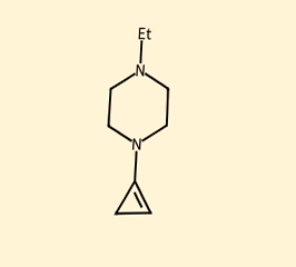 CCN1CCN(C2=CC2)CC1